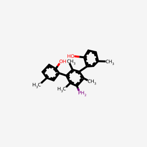 Cc1ccc(O)c(-c2c(C)c(P)c(C)c(-c3cc(C)ccc3O)c2C)c1